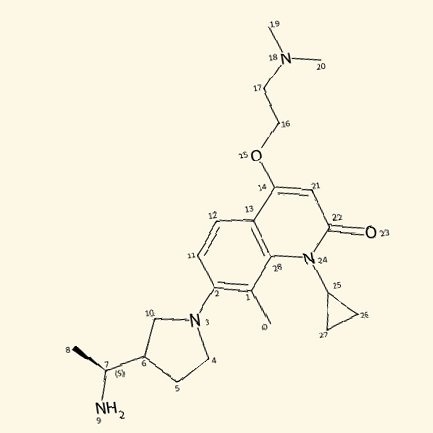 Cc1c(N2CCC([C@H](C)N)C2)ccc2c(OCCN(C)C)cc(=O)n(C3CC3)c12